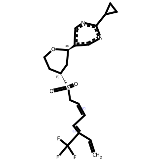 C=C/C(=C\C=C/CS(=O)(=O)[C@@H]1CCO[C@@H](c2cnc(C3CC3)nc2)C1)C(F)(F)F